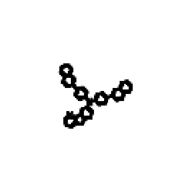 c1cnc2c(c1)Cc1ccc(N(c3ccc(-c4ccc5ccccc5c4)cc3)c3ccc(-c4ccc5ccccc5c4)cc3)cc1-2